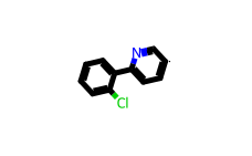 Clc1ccccc1-c1cc[c]cn1